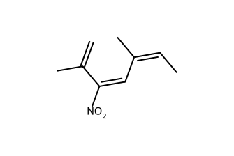 C=C(C)/C(=C\C(C)=C/C)[N+](=O)[O-]